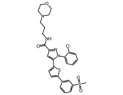 CS(=O)(=O)c1cccc(-c2ccc(-c3cc(C(=O)NCCCN4CCOCC4)nn3-c3ccccc3Cl)s2)c1